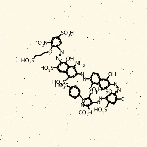 Nc1c(N=Nc2ccc3c(O)c(/N=N\c4cc(/N=N/c5c(C(=O)O)nn(-c6ccc(S(=O)(=O)O)cc6)c5O)c(S(=O)(=O)O)cc4Cl)c(S(=O)(=O)O)cc3c2S(=O)(=O)O)cc(S(=O)(=O)O)c2cc(S(=O)(=O)O)c(N=Nc3cc(S(=O)(=O)O)cc([N+](=O)[O-])c3OCCCS(=O)(=O)O)c(O)c12